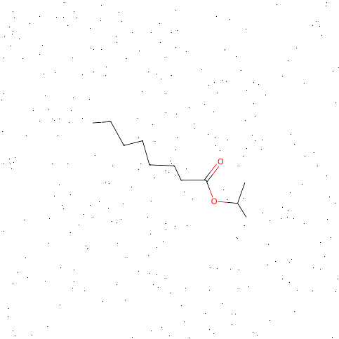 CCCCCCCC(=O)OC(C)C